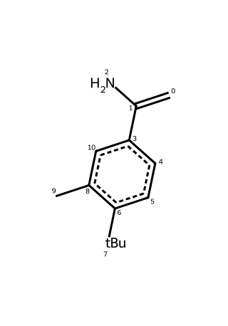 C=C(N)c1ccc(C(C)(C)C)c(C)c1